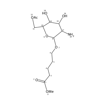 COC(=O)CCCCOC1OC(COC(C)=O)C(O)C(O)C1N